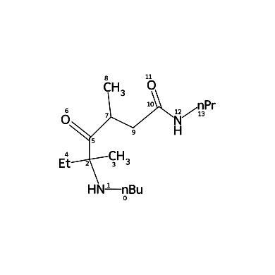 CCCCNC(C)(CC)C(=O)C(C)CC(=O)NCCC